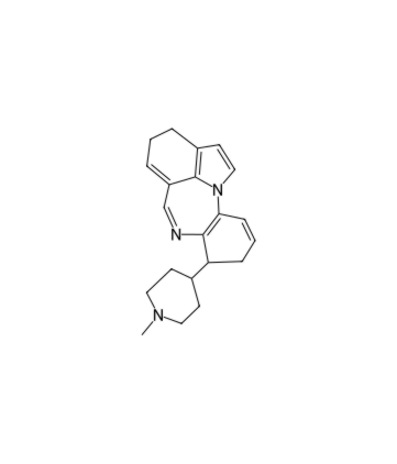 CN1CCC(C2CC=CC3=C2N=CC2=CCCc4ccn3c42)CC1